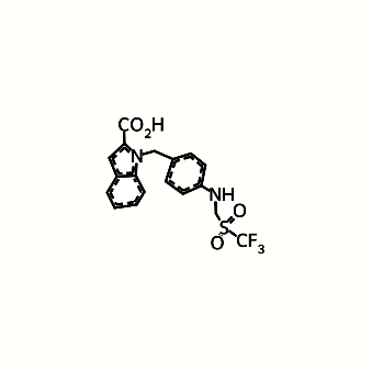 O=C(O)c1cc2ccccc2n1Cc1ccc(NCS(=O)(=O)C(F)(F)F)cc1